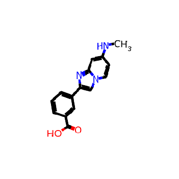 CNc1ccn2cc(-c3cccc(C(=O)O)c3)nc2c1